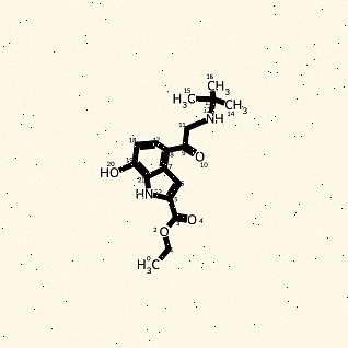 CCOC(=O)c1cc2c(C(=O)CNC(C)(C)C)ccc(O)c2[nH]1